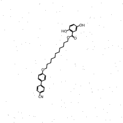 N#Cc1ccc(-c2ccc(OCCCCCCCCCCCOC(=O)c3cc(O)ccc3O)cc2)cc1